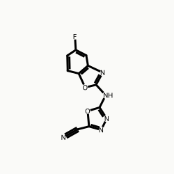 N#Cc1nnc(Nc2nc3cc(F)ccc3o2)o1